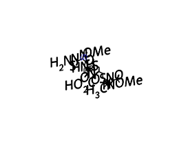 CO/N=C(\C(=O)N[C@@H]1C(=O)N2C(OC(=O)O)=C(CSc3nc(C(=O)OC)nn3C)CS[C@H]12)c1csc(N)n1